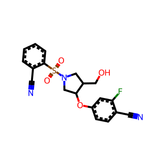 N#Cc1ccc(OC2CN(S(=O)(=O)c3ccccc3C#N)CC2CO)cc1F